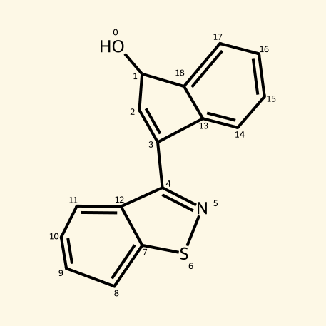 OC1C=C(c2nsc3ccccc23)c2ccccc21